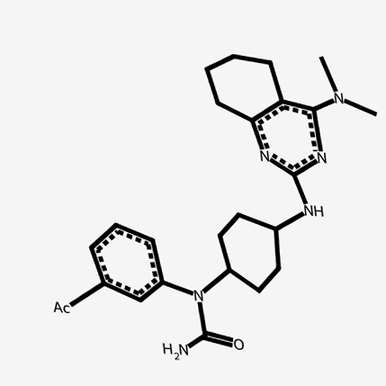 CC(=O)c1cccc(N(C(N)=O)C2CCC(Nc3nc4c(c(N(C)C)n3)CCCC4)CC2)c1